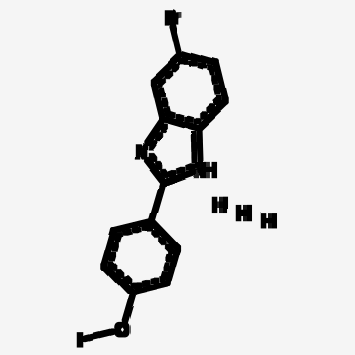 Brc1ccc2[nH]c(-c3ccc(OI)cc3)nc2c1.I.I.I